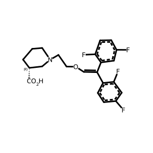 O=C(O)[C@@H]1CCCN(CCOC=C(c2ccc(F)cc2F)c2cc(F)ccc2F)C1